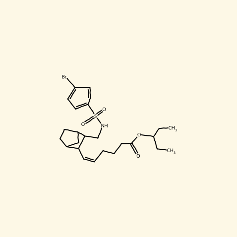 CCC(CC)OC(=O)CCC/C=C\C1C2CCC(C2)C1CNS(=O)(=O)c1ccc(Br)cc1